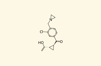 C=C(O)[C@H]1C[C@@H]1C(=O)c1ccc(CN2CC2)c(Cl)c1